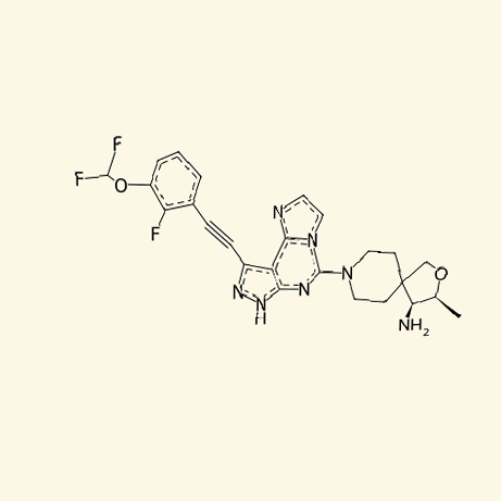 C[C@@H]1OCC2(CCN(c3nc4[nH]nc(C#Cc5cccc(OC(F)F)c5F)c4c4nccn34)CC2)[C@@H]1N